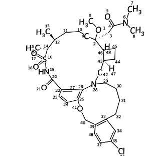 CO[C@]1(CC(=O)N(C)C)CCC[C@H](C)[C@@H](C)S(=O)(=O)NC(=O)c2ccc3c(c2)N(CCCCc2cc(Cl)ccc2CO3)C[C@@H]2CC[C@H]21